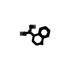 ON(O)C1CCSc2ccccc21